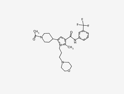 CC(=O)N1CCC(c2cc(C(=O)Nc3cccc(C(F)(F)F)c3)c(C)n2CCCN2CCOCC2)CC1